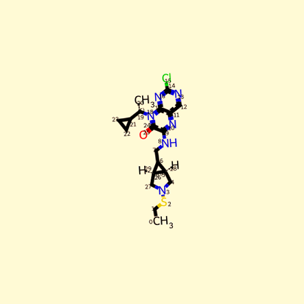 CCSN1C[C@@H]2C(CNc3nc4cnc(Cl)nc4n([C@@H](C)C4CC4)c3=O)[C@@H]2C1